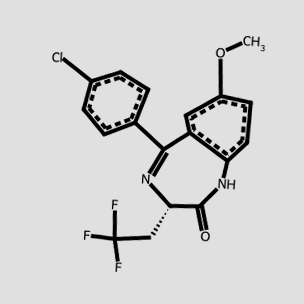 COc1ccc2c(c1)C(c1ccc(Cl)cc1)=N[C@@H](CC(F)(F)F)C(=O)N2